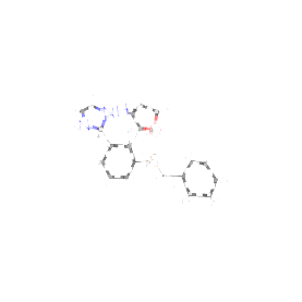 [c]1ccc(-c2ncc[nH]2)c(-c2ccco2)c1SCc1ccccc1